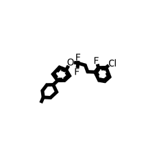 CC1CCC(c2ccc(OC(F)(F)CCc3cccc(Cl)c3F)cc2)CC1